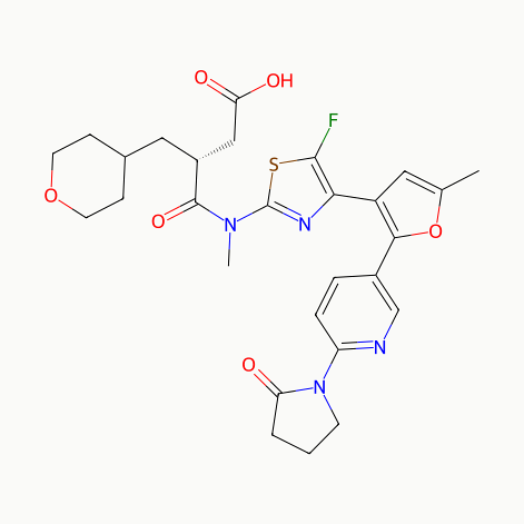 Cc1cc(-c2nc(N(C)C(=O)[C@@H](CC(=O)O)CC3CCOCC3)sc2F)c(-c2ccc(N3CCCC3=O)nc2)o1